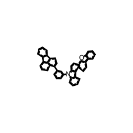 c1cc(-c2ccc3c4c(cccc24)-c2ccccc2-3)cc(-n2c3ccccc3c3c4ccc5c6ccccc6oc5c4ccc32)c1